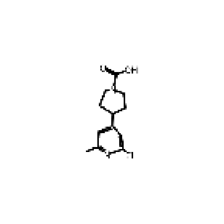 Cc1cc(C2CCN(C(=O)O)CC2)cc(Cl)n1